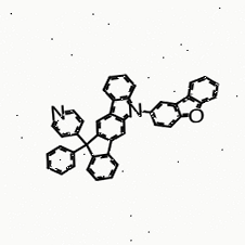 c1ccc(C2(c3ccncc3)c3ccccc3-c3cc4c(cc32)c2ccccc2n4-c2ccc3oc4ccccc4c3c2)cc1